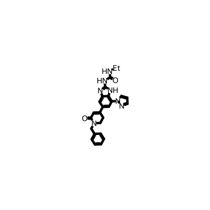 CCNC(=O)Nc1nc2cc(C3=CC(=O)N(Cc4ccccc4)CC3)cc(-n3cccn3)c2[nH]1